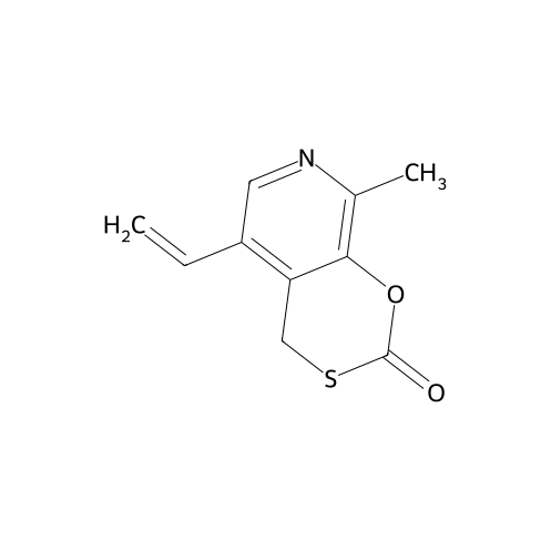 C=Cc1cnc(C)c2c1CSC(=O)O2